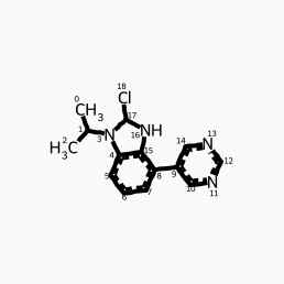 CC(C)N1c2cccc(-c3cncnc3)c2NC1Cl